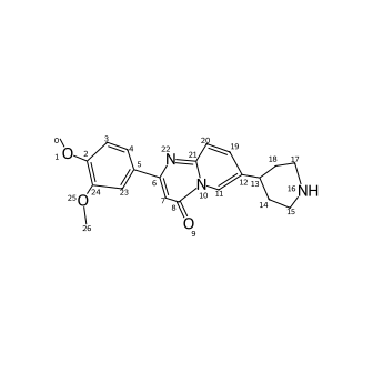 COc1ccc(-c2cc(=O)n3cc(C4CCNCC4)ccc3n2)cc1OC